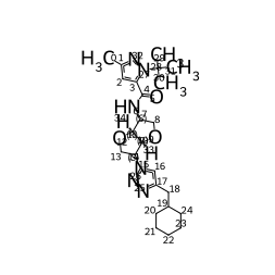 Cc1cc(C(=O)N[C@H]2CO[C@H]3[C@@H]2OC[C@@H]3n2cc(CC3CCCCC3)nn2)n(C(C)(C)C)n1